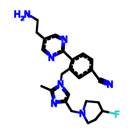 Cc1nc(CN2CCC(F)CC2)cn1Cc1cc(C#N)ccc1-c1ncc(CCN)cn1